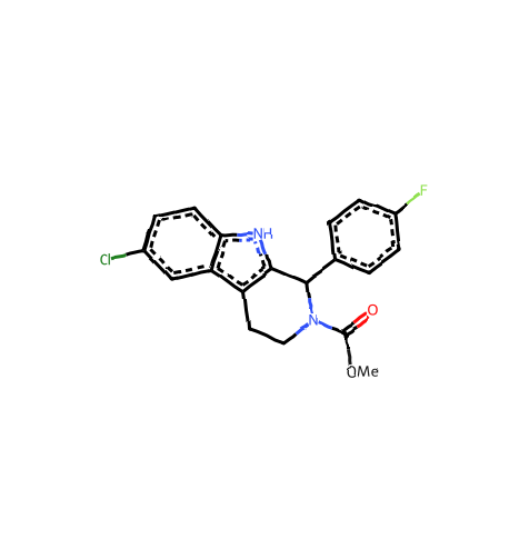 COC(=O)N1CCc2c([nH]c3ccc(Cl)cc23)C1c1ccc(F)cc1